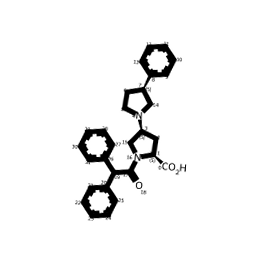 O=C(O)[C@@H]1C[C@H](N2CC[C@@H](c3ccccc3)C2)CN1C(=O)C(c1ccccc1)c1ccccc1